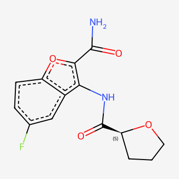 NC(=O)c1oc2ccc(F)cc2c1NC(=O)[C@@H]1CCCO1